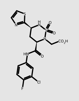 O=C(O)CN1[C@@H](C(=O)Nc2ccc(F)c(Cl)c2)C[C@@H](c2nccs2)NS1(=O)=O